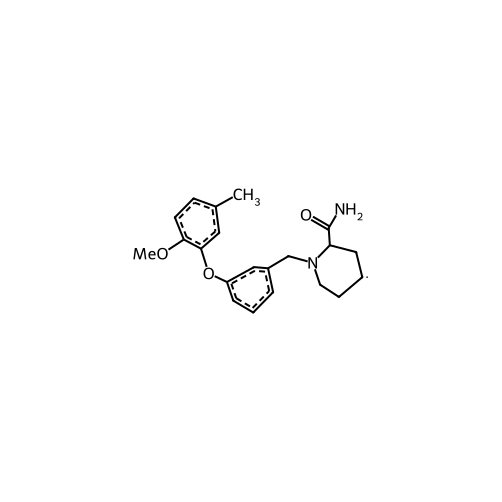 COc1ccc(C)cc1Oc1cccc(CN2CC[CH]CC2C(N)=O)c1